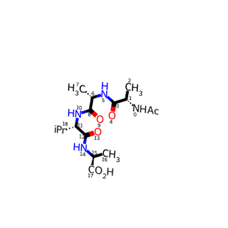 CC(=O)N[C@@H](C)C(=O)N[C@@H](C)C(=O)N[C@H](C(=O)N[C@@H](C)C(=O)O)C(C)C